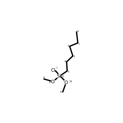 CCCCCC[Si](Cl)(OC)OC